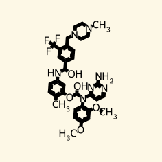 COc1ccc(N(c2ccnc(N)n2)C(O)Oc2cc(NC(O)c3ccc(CN4CCN(C)CC4)c(C(F)(F)F)c3)ccc2C)c(OC)c1